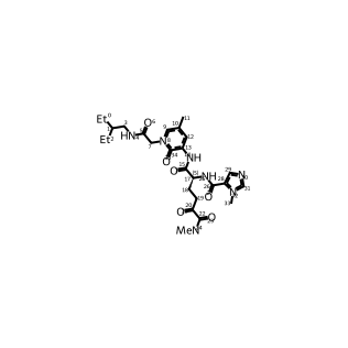 CCC(CC)CNC(=O)Cn1cc(C)cc(NC(=O)[C@H](CCC(=O)C(=O)NC)NC(=O)c2cncn2C)c1=O